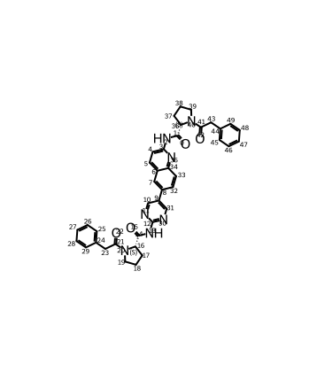 O=C(Nc1ccc2cc(-c3cnc(NC(=O)[C@@H]4CCCN4C(=O)Cc4ccccc4)nc3)ccc2n1)[C@@H]1CCCN1C(=O)Cc1ccccc1